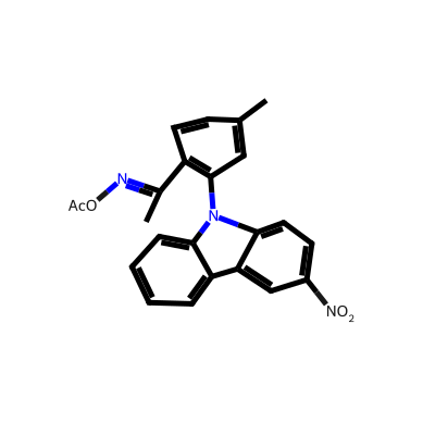 CC(=O)ON=C(C)c1ccc(C)cc1-n1c2ccccc2c2cc([N+](=O)[O-])ccc21